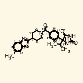 Cc1ccc2nc(C3CCN(C(=O)c4ccc(C5(C(C)C)NC(=O)NC5=O)cc4)CC3)sc2c1